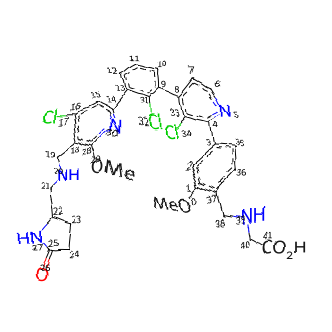 COc1cc(-c2nccc(-c3cccc(-c4cc(Cl)c(CNCC5CCC(=O)N5)c(OC)n4)c3Cl)c2Cl)ccc1CNCC(=O)O